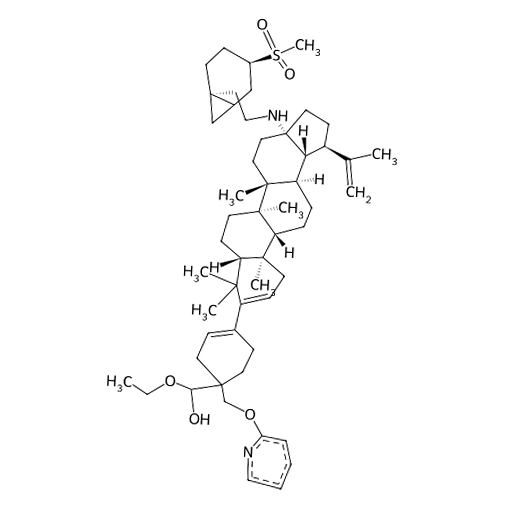 C=C(C)[C@@H]1CC[C@]2(NCC[C@]34CC[C@@H](S(C)(=O)=O)CC3C4)CC[C@]3(C)[C@H](CC[C@@H]4[C@@]5(C)CC=C(C6=CCC(COc7ccccn7)(C(O)OCC)CC6)C(C)(C)[C@@H]5CC[C@]43C)[C@@H]12